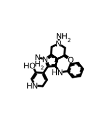 NN1CC(=O)c2c(Nc3ccccc3)c(C3=CCNC=C3O)n(N)c2C1